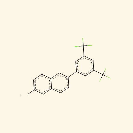 Cc1ccc2cc(-c3cc(C(F)(F)F)cc(C(F)(F)F)c3)ccc2c1